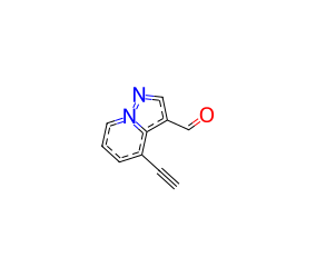 C#Cc1cccn2ncc(C=O)c12